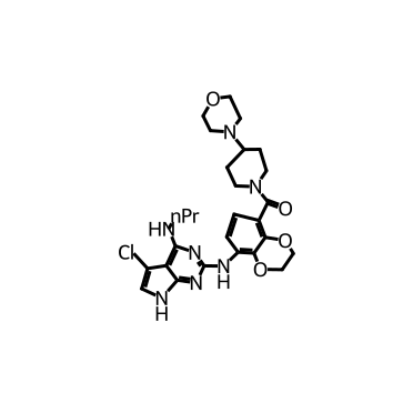 CCCNc1nc(Nc2ccc(C(=O)N3CCC(N4CCOCC4)CC3)c3c2OCCO3)nc2[nH]cc(Cl)c12